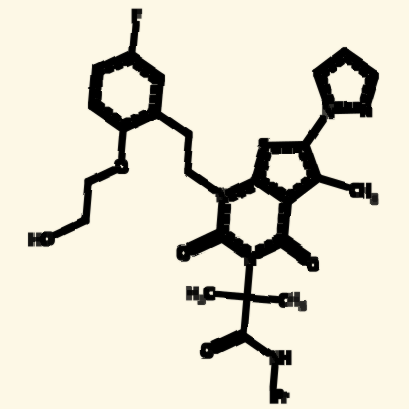 Cc1c(-n2cccn2)sc2c1c(=O)n(C(C)(C)C(=O)NC(C)C)c(=O)n2CCc1cc(F)ccc1OCCO